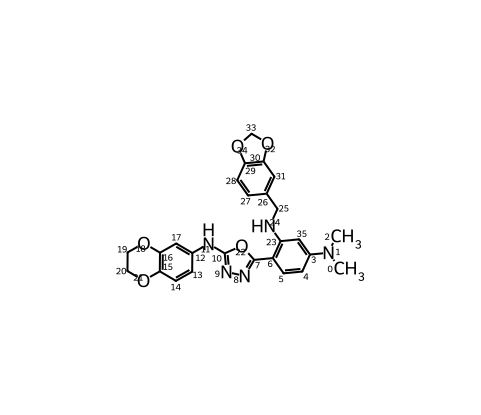 CN(C)c1ccc(-c2nnc(Nc3ccc4c(c3)OCCO4)o2)c(NCc2ccc3c(c2)OCO3)c1